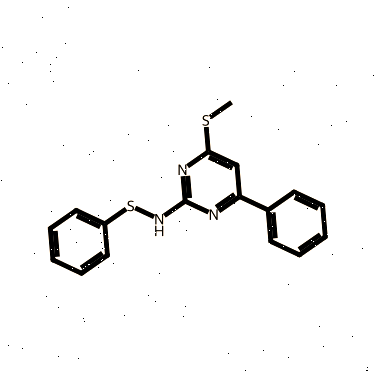 CSc1cc(-c2ccccc2)nc(NSc2ccccc2)n1